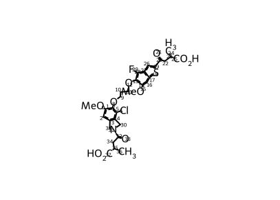 COc1cc2c(c(Cl)c1OCCCOc1c(OC)cc3sc(C(=O)CC(C)C(=O)O)cc3c1F)CN(C(=O)CC(C)C(=O)O)C2